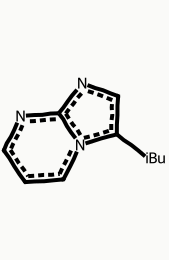 CCC(C)c1cnc2ncccn12